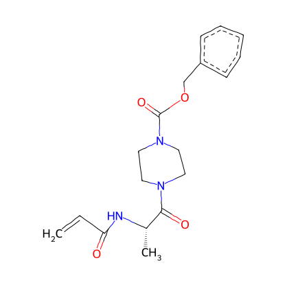 C=CC(=O)N[C@@H](C)C(=O)N1CCN(C(=O)OCc2ccccc2)CC1